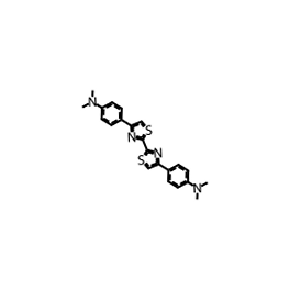 CN(C)c1ccc(-c2csc(-c3nc(-c4ccc(N(C)C)cc4)cs3)n2)cc1